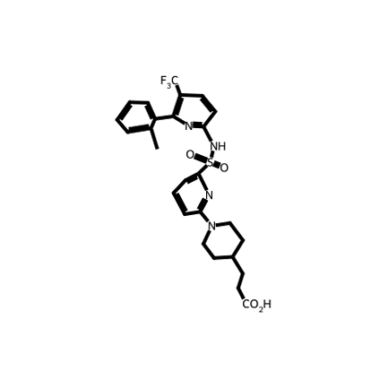 Cc1ccccc1-c1nc(NS(=O)(=O)c2cccc(N3CCC(CCC(=O)O)CC3)n2)ccc1C(F)(F)F